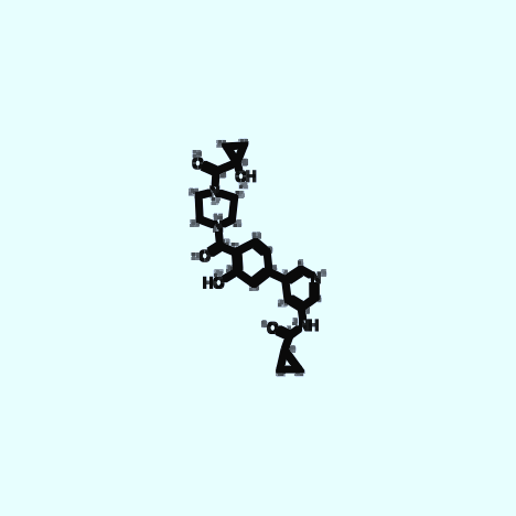 O=C(Nc1cncc(-c2ccc(C(=O)N3CCN(C(=O)C4(O)CC4)CC3)c(O)c2)c1)C1CC1